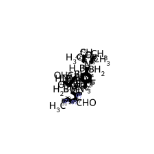 BC(B)(c1ccc(CN/C=C(CN(C)C(B)(C(=O)NC)C(B)(B)C(B)(B)C=O)/C(C=O)=C\C=C/C)c(F)c1)N1CC(C)(C)OC(C)(C)C1